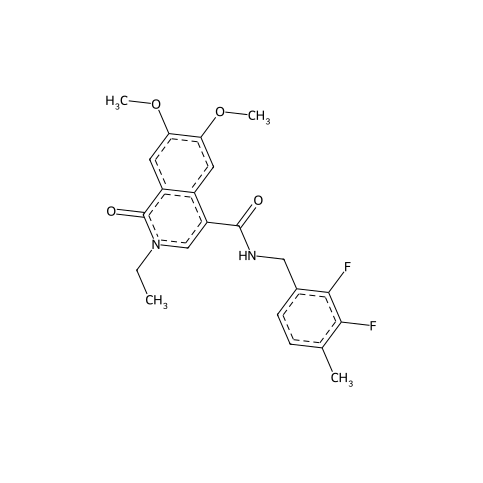 CCn1cc(C(=O)NCc2ccc(C)c(F)c2F)c2cc(OC)c(OC)cc2c1=O